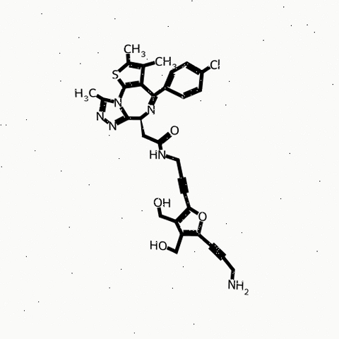 Cc1sc2c(c1C)C(c1ccc(Cl)cc1)=N[C@@H](CC(=O)NCC#Cc1oc(C#CCN)c(CO)c1CO)c1nnc(C)n1-2